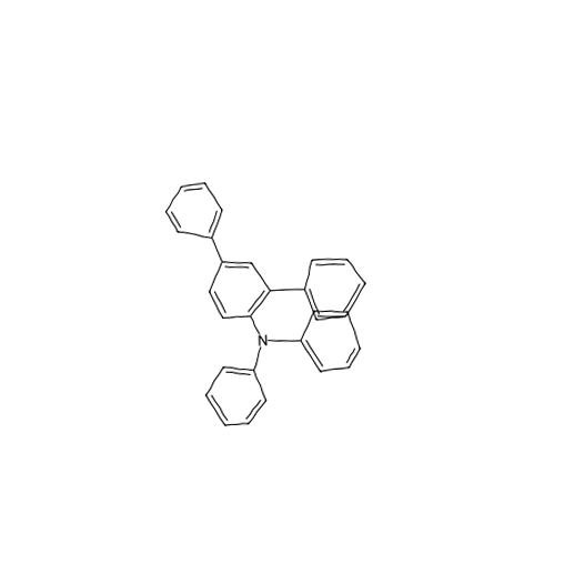 c1ccc(-c2ccc(N(c3ccccc3)c3ccccc3)c(-c3ccccc3)c2)cc1